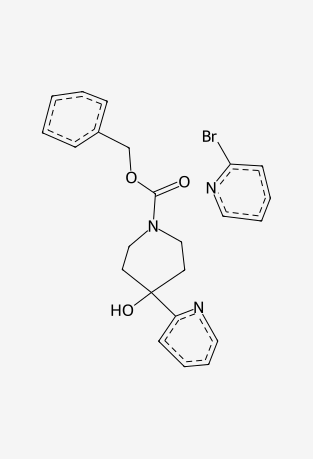 Brc1ccccn1.O=C(OCc1ccccc1)N1CCC(O)(c2ccccn2)CC1